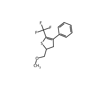 COCC1CC(c2ccccc2)=C(C(F)(F)F)S1